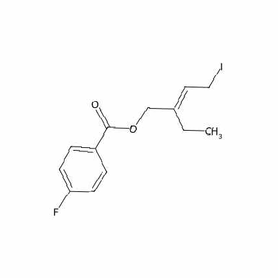 CC/C(=C\CI)COC(=O)c1ccc(F)cc1